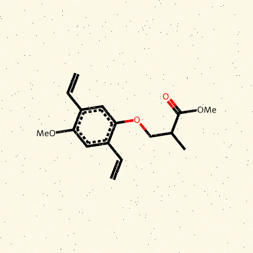 C=Cc1cc(OCC(C)C(=O)OC)c(C=C)cc1OC